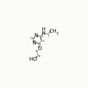 CCNc1cc(OCCO)ncn1